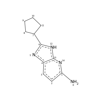 Nc1ccc2nc(C3CCCC3)[nH]c2n1